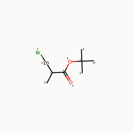 C[CH]([Zn][Br])C(=O)OC(C)(C)C